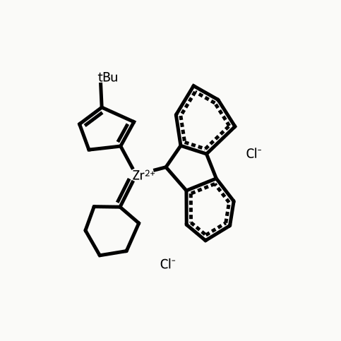 CC(C)(C)C1=CC[C]([Zr+2](=[C]2CCCCC2)[CH]2c3ccccc3-c3ccccc32)=C1.[Cl-].[Cl-]